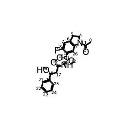 CC(=O)N1CCc2cc(F)c(S(=O)(=O)NC(=O)CC(O)c3ccccc3)cc21